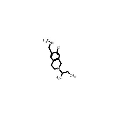 CCC(C)N1CCc2cc(CNC)c(Cl)cc2C1